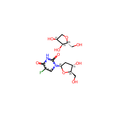 O=c1[nH]c(=O)n([C@H]2C[C@H](O)[C@@H](CO)O2)cc1F.OC[C@H]1OC[C@H](O)[C@@H]1O